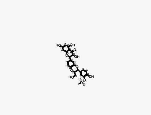 CS(=O)(=O)Oc1cc(C2Oc3cc(C4Oc5cc(O)cc(O)c5C(=O)C4O)ccc3OC2CO)ccc1O